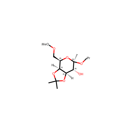 COOC[C@H]1O[C@@](C)(OC(C)C)[C@H](O)[C@H]2OC(C)(C)O[C@H]21